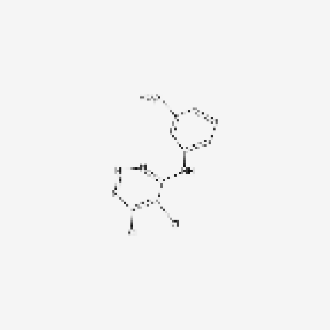 O=S(=O)(O)c1cccc(Nc2nnnc(Cl)c2Cl)c1